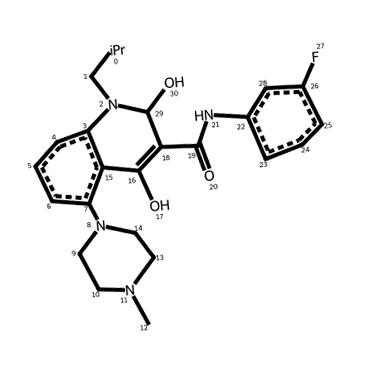 CC(C)CN1c2cccc(N3CCN(C)CC3)c2C(O)=C(C(=O)Nc2cccc(F)c2)C1O